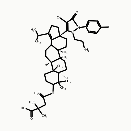 C=C(CC(C)(C)C(=O)O)OC1CCC2(C)[C@H]3CCC4C5=C(C(C)C)CC[C@]5(c5c(Cl)c(=O)n(-c6ccc(F)cc6)n5CCN)CC[C@@]4(C)C3(C)CC[C@H]2C1(C)C